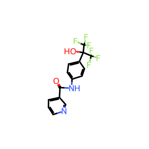 O=C(Nc1ccc(C(O)(C(F)(F)F)C(F)(F)F)cc1)c1cccnc1